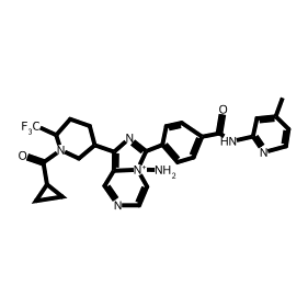 Cc1ccnc(NC(=O)c2ccc(C3=NC(C4CCC(C(F)(F)F)N(C(=O)C5CC5)C4)=C4C=NC=C[N+]34N)cc2)c1